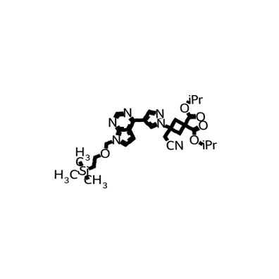 CC(C)OC(=O)C1(C(=O)OC(C)C)CC(CC#N)(n2cc(-c3ncnc4c3ccn4COCC[Si](C)(C)C)cn2)C1